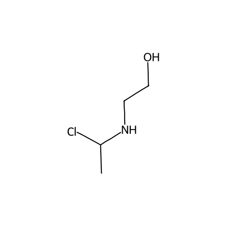 CC(Cl)NCCO